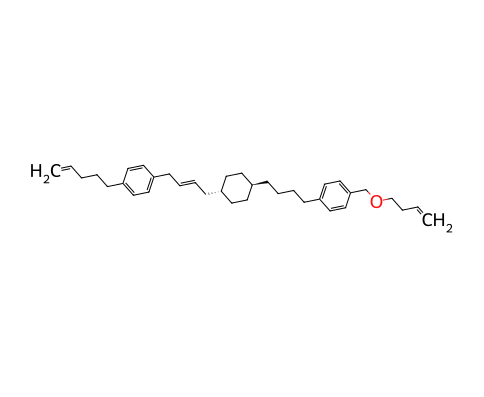 C=CCCCc1ccc(CC=CC[C@H]2CC[C@H](CCCCc3ccc(COCCC=C)cc3)CC2)cc1